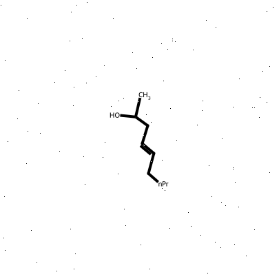 CCCCC=CCC(C)O